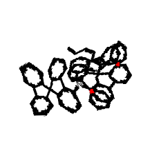 C=C/C=C\C=C(/c1ccccc1)C1(c2ccccc2-c2ccccc2)c2ccccc2-c2cccc(N(c3cccc4c3-c3ccccc3C43c4ccccc4-c4ccccc43)c3cccc4c3sc3ccccc34)c21